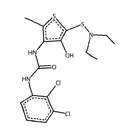 CCN(CC)Sc1sc(C)c(NC(=O)Nc2cccc(Cl)c2Cl)c1O